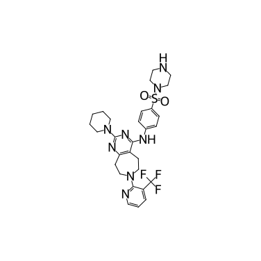 O=S(=O)(c1ccc(Nc2nc(N3CCCCC3)nc3c2CCN(c2ncccc2C(F)(F)F)CC3)cc1)N1CCNCC1